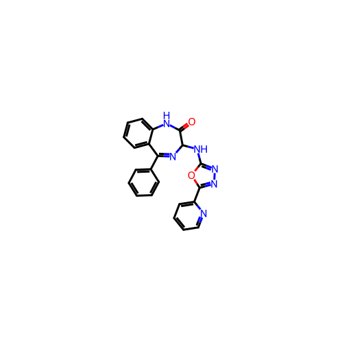 O=C1Nc2ccccc2C(c2ccccc2)=NC1Nc1nnc(-c2ccccn2)o1